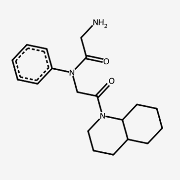 NCC(=O)N(CC(=O)N1CCCC2CCCCC21)c1ccccc1